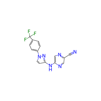 N#Cc1cnc(Nc2ccn(-c3ccc(C(F)(F)F)cc3)n2)cn1